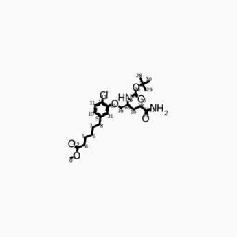 COC(=O)CCCCCc1ccc(Cl)c(OC[C@H](CCC(N)=O)NC(=O)OC(C)(C)C)c1